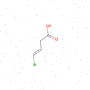 O=C(O)CC=CBr